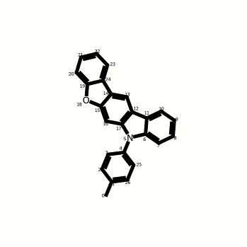 Cc1ccc(-n2c3ccccc3c3cc4c(cc32)oc2ccccc24)cc1